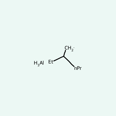 [AlH3].[CH2]C(CC)CCC